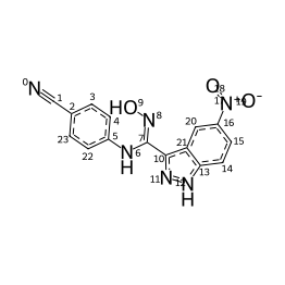 N#Cc1ccc(NC(=NO)c2n[nH]c3ccc([N+](=O)[O-])cc23)cc1